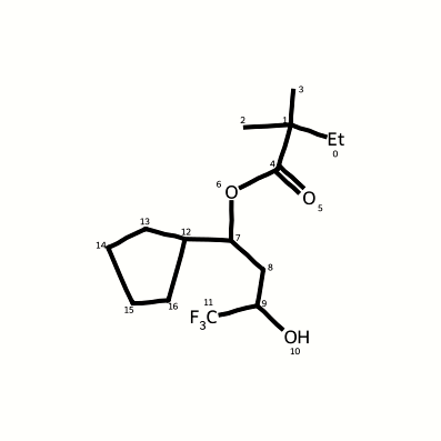 CCC(C)(C)C(=O)OC(CC(O)C(F)(F)F)C1CCCC1